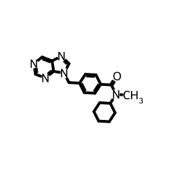 CN(C(=O)c1ccc(Cn2cnc3cncnc32)cc1)C1CCCCC1